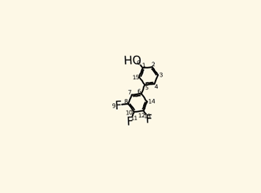 Oc1cccc(-c2cc(F)c(F)c(F)c2)c1